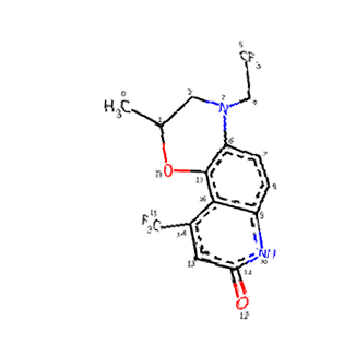 CC1CN(CC(F)(F)F)c2ccc3[nH]c(=O)cc(C(F)(F)F)c3c2O1